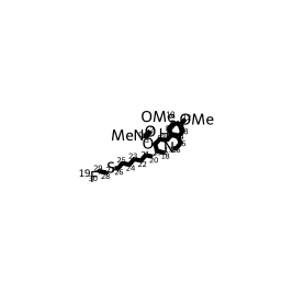 CNC(=O)O[C@H]1C[C@H]2c3cc(OC)c(OC)cc3CCN2C[C@@H]1CCCCCCCSCC[19F]